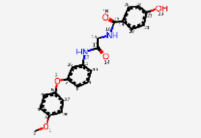 COc1ccc(Oc2cccc(NC(=O)CNC(=O)c3ccc(O)cc3)c2)cc1